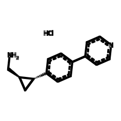 Cl.NC[C@@H]1C[C@H]1c1ccc(-c2ccncc2)cc1